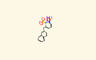 O=S(=O)=C1C(Cc2ccc3ccccc3c2)=CC=C[NH+]1[O-]